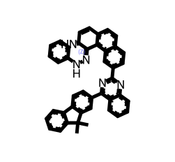 CC1(C)c2ccccc2-c2ccc(-c3nc(-c4ccc5ccc6c(c5c4)/C(=N/Nc4ccccc4)C(=N)C=C6)nc4ccccc34)cc21